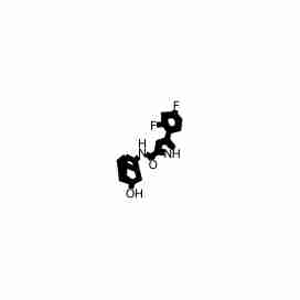 O=C(NC1C2CC3CC1CC(O)(C3)C2)c1cc(-c2ccc(F)cc2F)c[nH]1